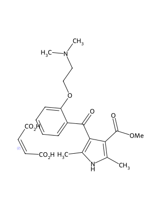 COC(=O)c1c(C)[nH]c(C)c1C(=O)c1ccccc1OCCN(C)C.O=C(O)/C=C\C(=O)O